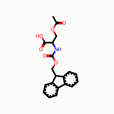 CC(=O)OCC(NC(=O)OCC1c2ccccc2-c2ccccc21)C(=O)O